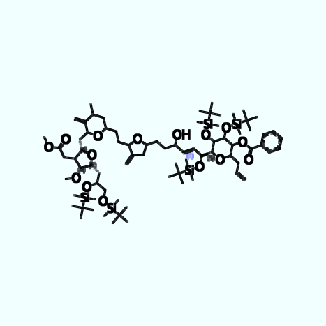 C=CCC1O[C@@H](C(/C=C/C(O)CCC2CC(=C)C(CCC3CC(C)C(=C)C(C[C@@H]4O[C@H](CC(CO[Si](C)(C)C(C)(C)C)O[Si](C)(C)C(C)(C)C)[C@H](OC)C4CC(=O)OC)O3)O2)O[Si](C)(C)C(C)(C)C)C(O[Si](C)(C)C(C)(C)C)C(O[Si](C)(C)C(C)(C)C)C1OC(=O)c1ccccc1